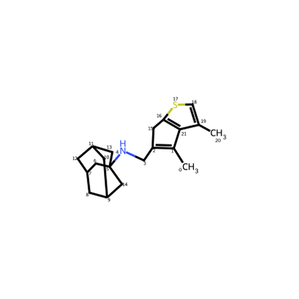 CC1=C(CNC23CC4CC(CC(C4)C2)C3)Cc2scc(C)c21